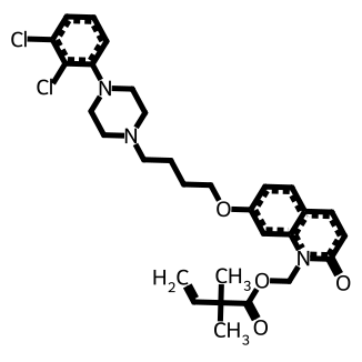 C=CC(C)(C)C(=O)OCn1c(=O)ccc2ccc(OCCCCN3CCN(c4cccc(Cl)c4Cl)CC3)cc21